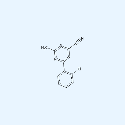 Cc1nc(C#N)cc(-c2ccccc2Cl)n1